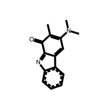 CC1=C(N(C)C)C=C2C(=Nc3ccccc32)C1=O